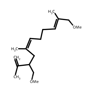 C=C(C)C(COC)C/C(C)=C\CC/C=C(\C)COC